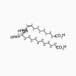 CCCCCC/C=C\CCCCCCCC(=O)O.CCCCCCC(O)CCCCCCCCCCC(=O)O